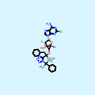 CC(C)(c1ccccc1)n1nnnc1C(Cc1ccccc1)(OC1[C@H]2O[C@@H](n3cnc4c(N)nc(Cl)nc43)[C@@H](F)[C@@]12O)C(=O)O